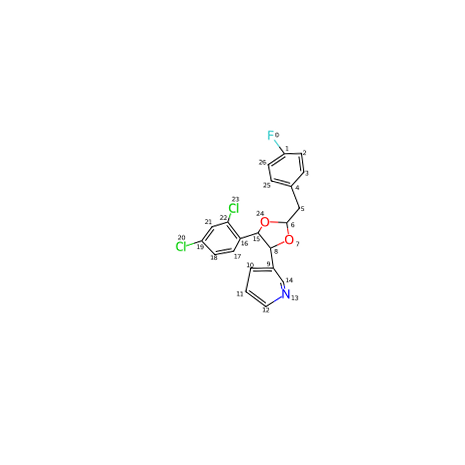 Fc1ccc(CC2OC(c3cccnc3)C(c3ccc(Cl)cc3Cl)O2)cc1